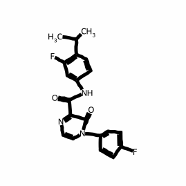 CC(C)c1ccc(NC(=O)c2nccn(-c3ccc(F)cc3)c2=O)cc1F